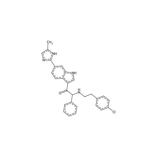 Cc1cnc(-c2ccc3c(C(=O)C(NCCc4ccc(Cl)cc4)c4ccccc4)c[nH]c3c2)[nH]1